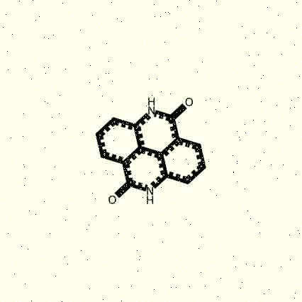 O=c1[nH]c2cccc3c(=O)[nH]c4cccc1c4c23